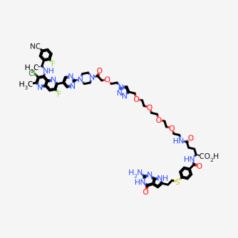 Cc1nc2cc(F)c(-c3cnc(N4CCN(C(=O)COCCn5cc(COCCOCCOCCOCCNC(=O)CC[C@H](NC(=O)c6ccc(SCCc7cc8c(=O)[nH]c(N)nc8[nH]7)cc6)C(=O)O)nn5)CC4)nc3)nc2c(N[C@H](C)c2cc(C#N)ccc2F)c1Cl